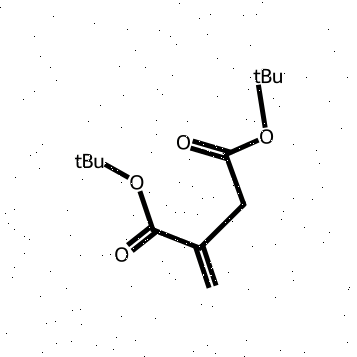 C=C(CC(=O)OC(C)(C)C)C(=O)OC(C)(C)C